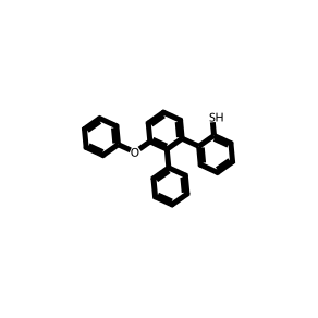 Sc1ccccc1-c1cccc(Oc2ccccc2)c1-c1ccccc1